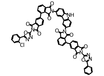 O=C1c2cccc(-c3ccc4c(c3)C(=O)N(c3nnc(-c5ccccc5)o3)C4=O)c2C(=O)N1c1ccc2[nH]c3ccc(N4C(=O)c5cccc(-c6ccc7c(c6)C(=O)N(c6nnc(-c8ccccc8Cl)o6)C7=O)c5C4=O)cc3c2c1